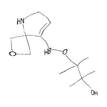 CC(C)(O)C(C)(C)OBC1=CCNC12COC2